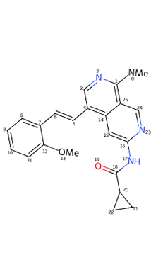 CNc1ncc(/C=C/c2ccccc2OC)c2cc(NC(=O)C3CC3)ncc12